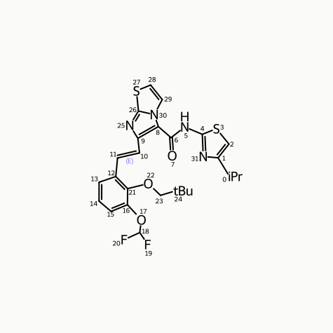 CC(C)c1csc(NC(=O)c2c(/C=C/c3cccc(OC(F)F)c3OCC(C)(C)C)nc3sccn23)n1